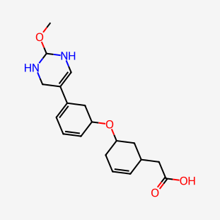 COC1NC=C(C2=CC=CC(OC3CC=CC(CC(=O)O)C3)C2)CN1